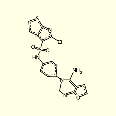 NC1=c2ccoc2=NCN1c1ccc(NS(=O)(=O)c2c(Cl)nc3sccn23)cc1